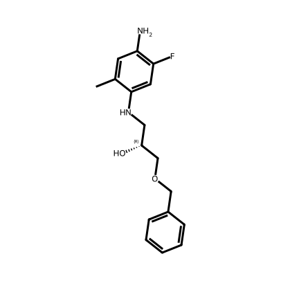 Cc1cc(N)c(F)cc1NC[C@@H](O)COCc1ccccc1